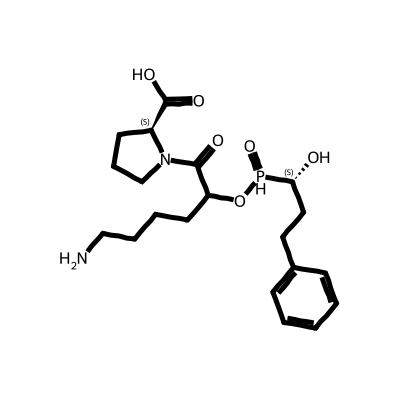 NCCCCC(O[PH](=O)[C@H](O)CCc1ccccc1)C(=O)N1CCC[C@H]1C(=O)O